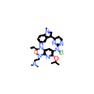 C=CC(=O)Nc1cc(N(Cl)c2nccc(-c3cn(C)c4ccccc34)n2)c(OC(C)C)nc1N(C)CCN(C)C